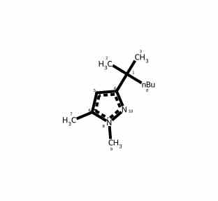 CCCCC(C)(C)c1cc(C)n(C)n1